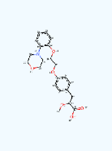 CO[C@@H](Cc1ccc(OCCOc2ccccc2N2CCOCC2)cc1)C(=O)O